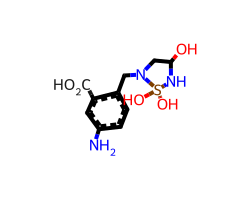 Nc1ccc(CN2CC(O)NS2(O)O)c(C(=O)O)c1